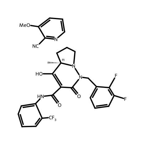 COc1cccnc1C#N.C[C@]12CCCN1N(Cc1cccc(F)c1F)C(=O)C(C(=O)Nc1ccccc1C(F)(F)F)=C2O